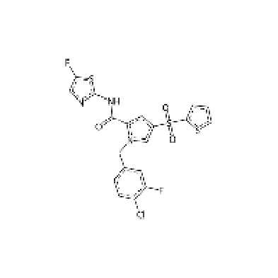 O=C(Nc1ncc(F)s1)c1cc(S(=O)(=O)c2cccs2)cn1Cc1ccc(Cl)c(F)c1